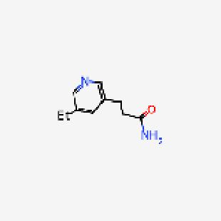 CCc1cncc(CCC(N)=O)c1